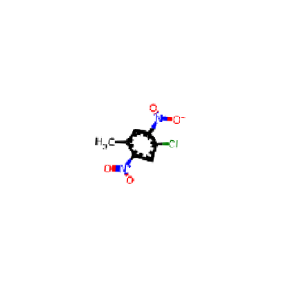 Cc1cc([N+](=O)[O-])c(Cl)cc1[N+](=O)[O-]